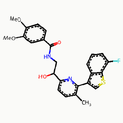 COc1ccc(C(=O)NCC(O)c2ccc(C)c(-c3csc4c(F)cccc34)n2)cc1OC